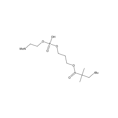 CNCCOP(=O)(O)OCCCOC(=O)C(C)(C)CC(C)(C)C